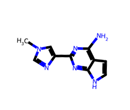 Cn1cnc(-c2nc(N)c3cc[nH]c3n2)c1